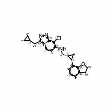 Clc1c(NC[C@@H]2C[C@H]2c2cccc3c2OCC3)ccn2c(CC3CC3)nnc12